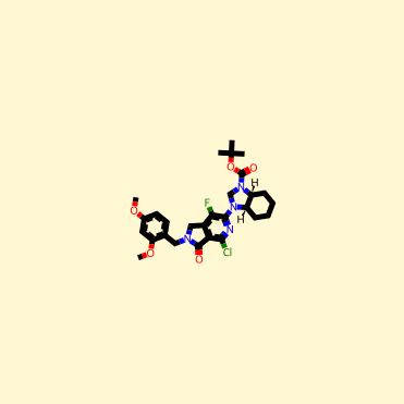 COc1ccc(CN2Cc3c(F)c(N4CN(C(=O)OC(C)(C)C)[C@H]5CCCC[C@H]54)nc(Cl)c3C2=O)c(OC)c1